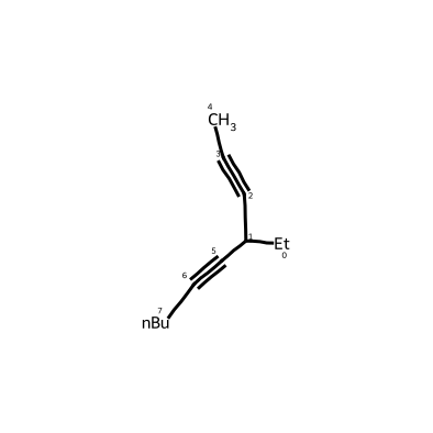 [CH2]CC(C#CC)C#CCCCC